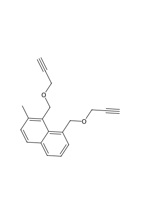 C#CCOCc1cccc2ccc(C)c(COCC#C)c12